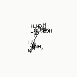 CC(C)C(NC(=O)Oc1c(Cl)cc(S(=O)(=O)Nc2ccc(CCCNc3nc(N)n4nc(-c5ccco5)nc4n3)cc2)cc1C(N)=O)C(=O)O